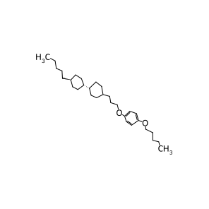 CCCCCOc1ccc(OCCCC2CCC([C@H]3CC[C@H](CCCCC)CC3)CC2)cc1